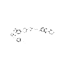 Cn1c(=O)n(C2(C(=O)Nc3ccc(C#N)c(C(F)(F)F)c3)CCC2)c2ccc(N3CCC(N4CC(NCCNc5ccc6c(c5)C(=O)N(C5CCC(=O)NC5=O)C6=O)C4)CC3)cc21